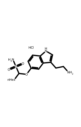 CCCCCCC(Oc1ccc2[nH]cc(CCN)c2c1)S(N)(=O)=O.Cl